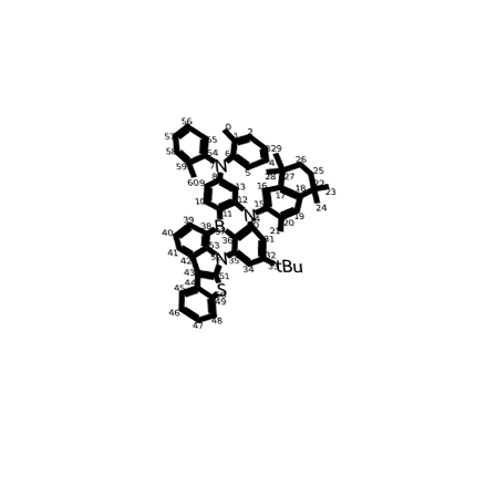 Cc1ccccc1N(c1ccc2c(c1)N(c1cc3c(cc1C)C(C)(C)CCC3(C)C)c1cc(C(C)(C)C)cc3c1B2c1cccc2c4c5ccccc5sc4n-3c12)c1ccccc1C